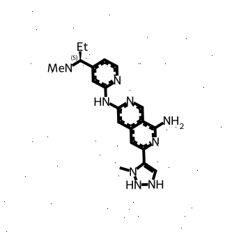 CC[C@H](NC)c1ccnc(Nc2cc3cc(C4=CNNN4C)nc(N)c3cn2)c1